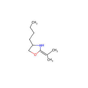 CCCCC1COC(=C(C)C)N1